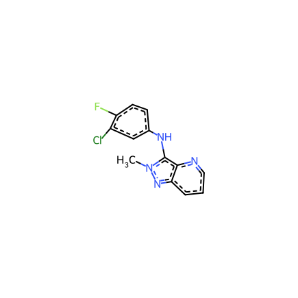 Cn1nc2cccnc2c1Nc1ccc(F)c(Cl)c1